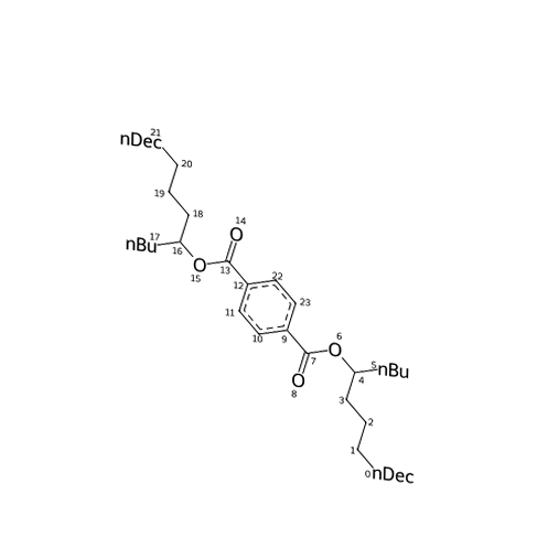 CCCCCCCCCCCCCC(CCCC)OC(=O)c1ccc(C(=O)OC(CCCC)CCCCCCCCCCCCC)cc1